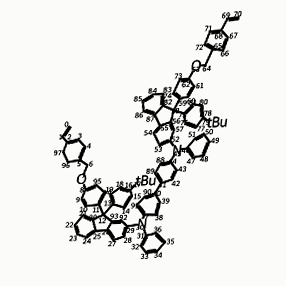 C=CC1=CC=C(COc2ccc(C3(c4ccc(C(C)(C)C)cc4)c4ccccc4-c4ccc(N(c5ccccc5)c5ccc(-c6ccc(N(c7ccccc7)c7ccc8c(c7)C(c7ccc(OCc9ccc(C=C)cc9)cc7)(c7ccc(C(C)(C)C)cc7)c7ccccc7-8)cc6)cc5)cc43)cc2)CC1